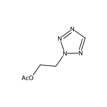 CC(=O)OCCn1ncnn1